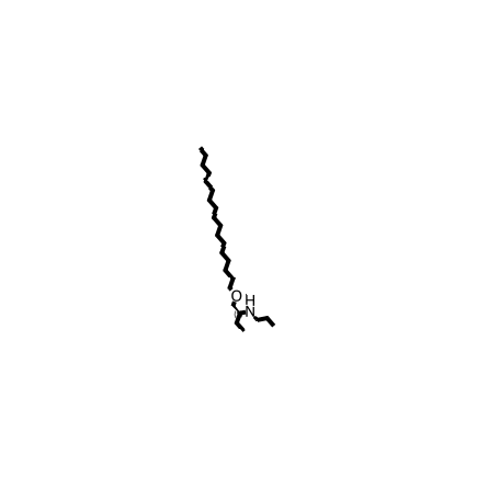 CCCCCCCCCCCCCCCCCOC[C@H](CC)NCCC